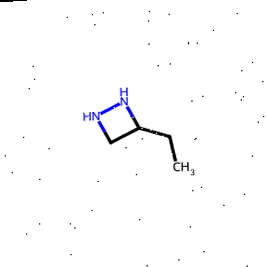 CCC1CNN1